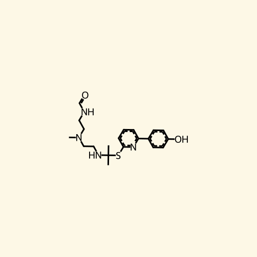 CN(CCNC=O)CCNC(C)(C)Sc1cccc(-c2ccc(O)cc2)n1